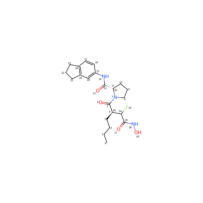 CCCC[C@@H](C(=O)N1CCC[C@H]1C(=O)Nc1ccc2c(c1)CCC2)C(F)C(=O)NO